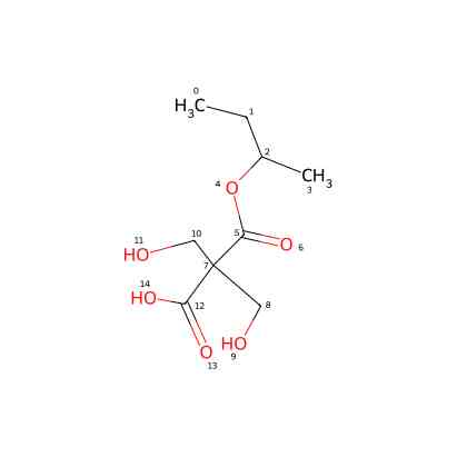 CCC(C)OC(=O)C(CO)(CO)C(=O)O